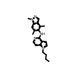 CCCCn1ccc2c(Nc3c(C)cc4c(cnn4C)c3C)nccc21